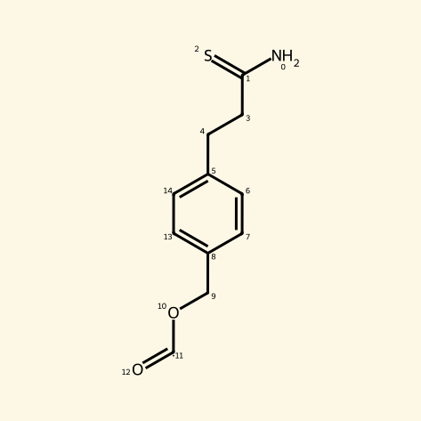 NC(=S)CCc1ccc(CO[C]=O)cc1